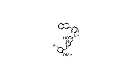 COc1ccc(C(C)=O)cc1Cn1cnc(C[C@@H](CO)Nc2nccc(-c3ccc4ccccc4c3)n2)c1